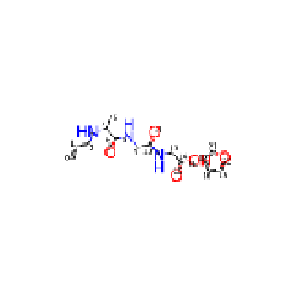 C=CCNC(C)C(=O)NCC(=O)NCC(=O)O.c1ccoc1